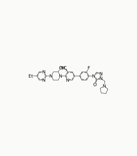 CCc1cnc(N2CCN(c3ncc(-c4ccc(-n5cnn(CN6CCCC6)c5=O)c(F)c4)cc3C#N)C(C)C2)nc1